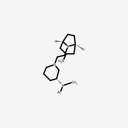 CC(=O)N(C)[C@@H]1CCCN(CCN2[C@@H]3CC[C@H]2CC(N)C3)C1